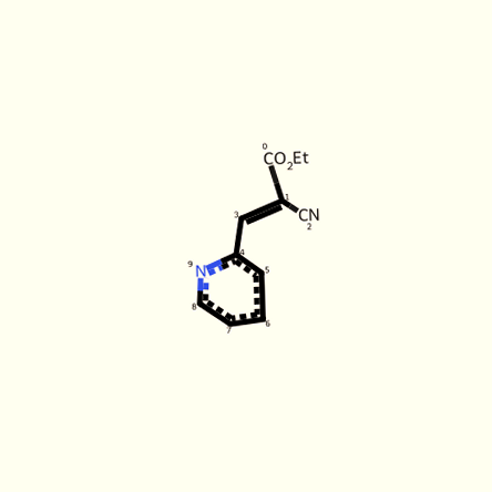 CCOC(=O)C(C#N)=Cc1ccccn1